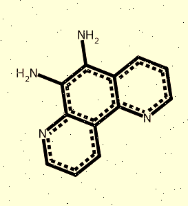 Nc1c(N)c2ncccc2c2ncccc12